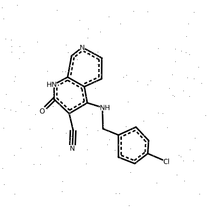 N#Cc1c(NCc2ccc(Cl)cc2)c2ccncc2[nH]c1=O